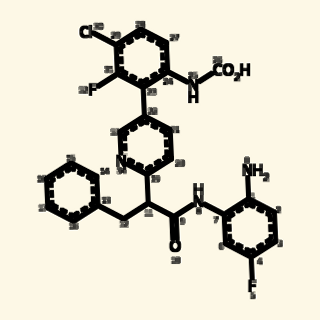 Nc1ccc(F)cc1NC(=O)C(Cc1ccccc1)c1ccc(-c2c(NC(=O)O)ccc(Cl)c2F)cn1